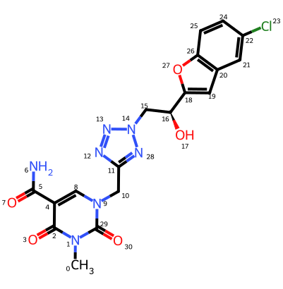 Cn1c(=O)c(C(N)=O)cn(Cc2nnn(C[C@H](O)c3cc4cc(Cl)ccc4o3)n2)c1=O